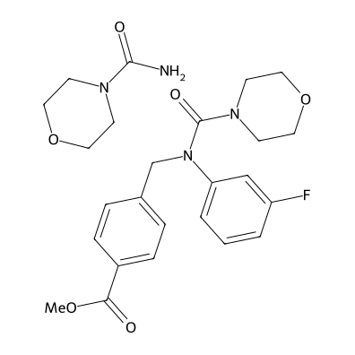 COC(=O)c1ccc(CN(C(=O)N2CCOCC2)c2cccc(F)c2)cc1.NC(=O)N1CCOCC1